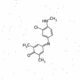 CNc1ccc(N=C2C=C(C)C(=O)C(C)=C2)cc1Cl